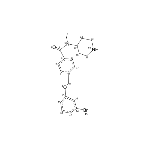 CN(C(=O)c1ccc(COc2cccc(Br)c2)cc1)C1CCNCC1